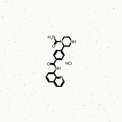 Cl.NC(=O)N1CCNCC1c1ccc(C(=O)Nc2cccc3cccnc23)cc1